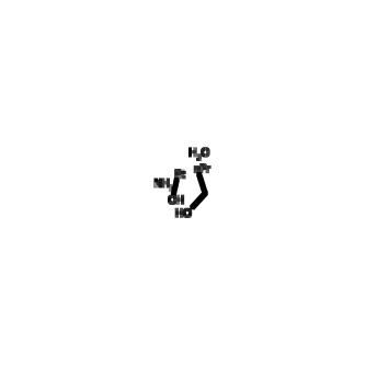 CCCCO.CCO.N.O